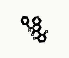 O=c1c(-c2c(Cl)cccc2Cl)cc2cnccc2n1Nc1ccccc1